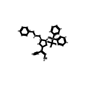 CC(C)(C)[Si](O[C@@H]1CC(C(C#N)=CO)C[C@H]1COCc1ccccc1)(c1ccccc1)c1ccccc1